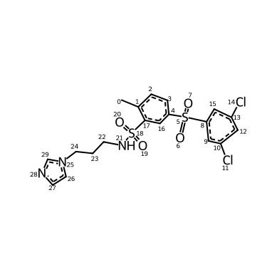 Cc1ccc(S(=O)(=O)c2cc(Cl)cc(Cl)c2)cc1S(=O)(=O)NCCCn1ccnc1